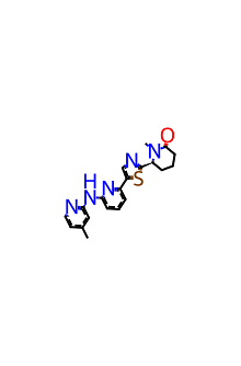 Cc1ccnc(Nc2cccc(-c3cnc([C@@H]4CCCC(=O)N4C)s3)n2)c1